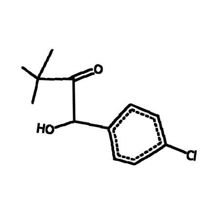 CC(C)(C)C(=O)C(O)c1ccc(Cl)cc1